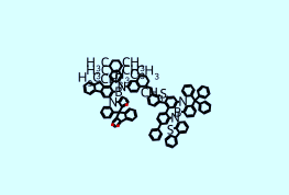 CC1(C)CCC(C)(C)c2cc3c(cc21)-c1c2c(cc4c1C(C)(C)c1ccccc1-4)N1c4ccccc4C4(c5ccccc5-c5ccccc54)c4cccc(c41)B2N3c1ccc2c(c1)C(C)(C)CCC2(C)Cc1cccc2c1sc1cc3c4c(c12)-c1ccc(-c2ccccc2)cc1N(c1cccc2c1sc1ccccc12)B4c1cccc2c1N3c1ccccc1C2(c1ccccc1)c1ccccc1